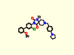 CCN1C(=O)N(c2ccc(-c3ccccc3OC(C)C)cc2Cl)C(=O)C12CCN(Cc1ccc(N3CCCC3)cc1)CC2